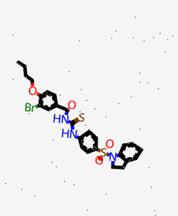 CCCCOc1ccc(C(=O)NC(=S)Nc2ccc(S(=O)(=O)N3CCc4ccccc43)cc2)cc1Br